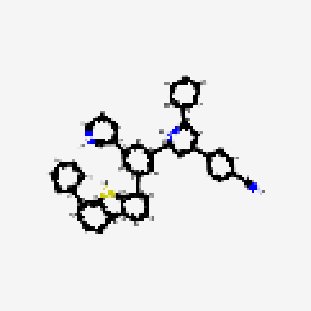 N#Cc1ccc(-c2cc(-c3ccccc3)nc(-c3cc(-c4cccnc4)cc(-c4cccc5c4sc4c(-c6ccccc6)cccc45)c3)c2)cc1